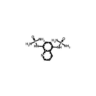 NP(N)(=O)Nc1ccc(NP(N)(N)=O)c2ncccc12